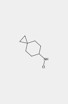 ClNC1CCC2(CC1)CC2